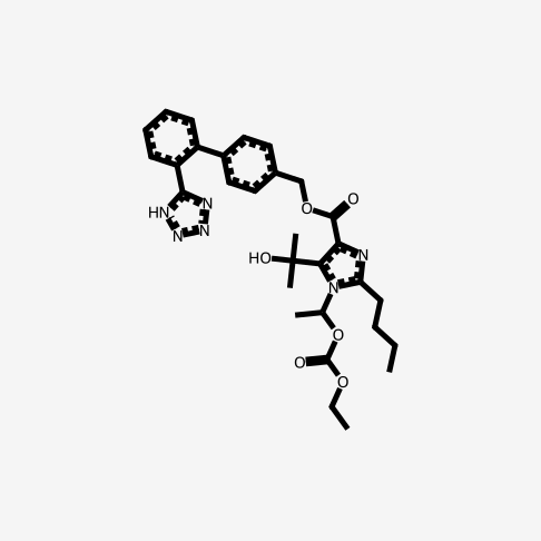 CCCCc1nc(C(=O)OCc2ccc(-c3ccccc3-c3nnn[nH]3)cc2)c(C(C)(C)O)n1C(C)OC(=O)OCC